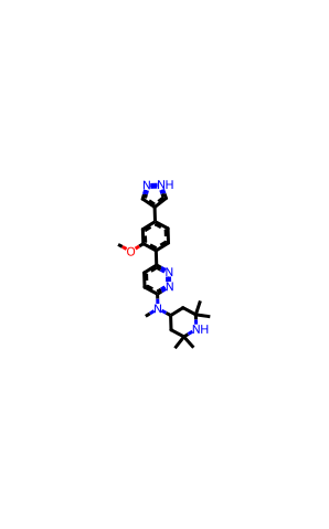 COc1cc(-c2cn[nH]c2)ccc1-c1ccc(N(C)C2CC(C)(C)NC(C)(C)C2)nn1